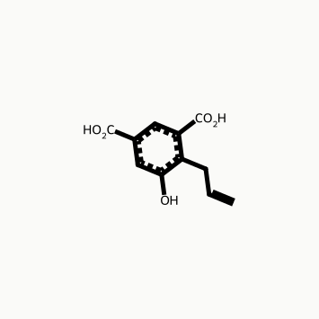 C=CCc1c(O)cc(C(=O)O)cc1C(=O)O